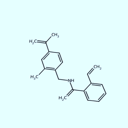 C=Cc1ccccc1C(=C)NCc1ccc(C(=C)C)cc1C